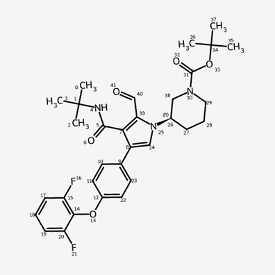 CC(C)(C)NC(=O)c1c(-c2ccc(Oc3c(F)cccc3F)cc2)cn([C@@H]2CCCN(C(=O)OC(C)(C)C)C2)c1C=O